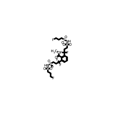 COC(=O)c1c(C(F)(F)CCS(=O)(=O)NS(=O)(=O)CCCF)cccc1C(F)(F)CCS(=O)(=O)NS(=O)(=O)CCCF